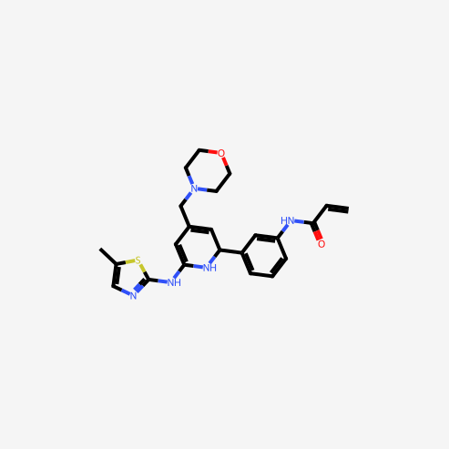 C=CC(=O)Nc1cccc(C2C=C(CN3CCOCC3)C=C(Nc3ncc(C)s3)N2)c1